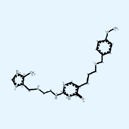 COc1ccc(COCCCc2cnc(NCCSCc3nc[nH]c3C)[nH]c2=O)cc1